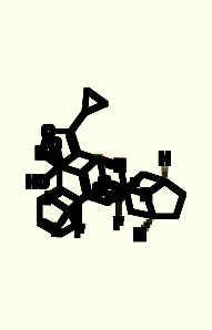 O=C(O)c1cnc(N2[C@@H]3CC[C@H]2C[C@@H](OCc2c(-c4ccccc4OC(F)F)noc2C2CC2)C3)cc1C(F)(F)F